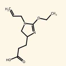 C=CCN1CC(CCC(=O)O)N=C1OCC